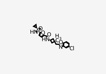 C[C@]1(Cc2nc3cc(Cl)ccc3o2)C[C@@H](NC(=O)c2ccc(S(=N)(=O)C3CC3)o2)C1